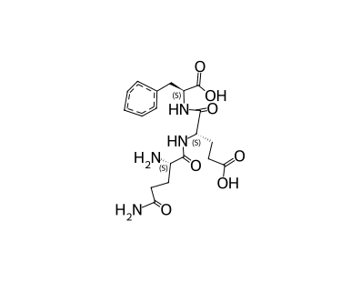 NC(=O)CC[C@H](N)C(=O)N[C@@H](CCC(=O)O)C(=O)N[C@@H](Cc1ccccc1)C(=O)O